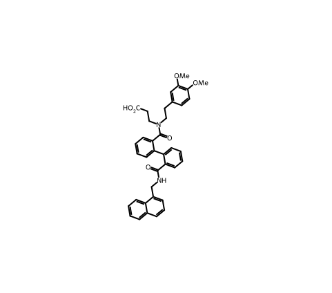 COc1ccc(CCN(CCC(=O)O)C(=O)c2ccccc2-c2ccccc2C(=O)NCc2cccc3ccccc23)cc1OC